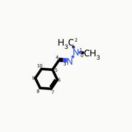 CN(C)N=CC1C=CCCC1